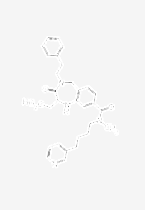 CN(CCCCc1cccnc1)C(=O)c1ccc2c(c1)NC(CC(=O)O)C(=O)N(CCc1ccccc1)C2